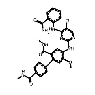 CNC(=O)c1ccc(-c2cc(OC)c(Nc3ncc(Cl)c(Nc4ccccc4C(N)=O)n3)cc2C(=O)NC)cc1